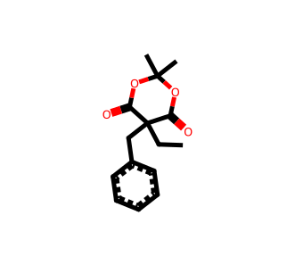 CCC1(Cc2ccccc2)C(=O)OC(C)(C)OC1=O